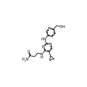 NC(=O)CCNc1nc(Nc2ccc(CO)nc2)ncc1C1CC1